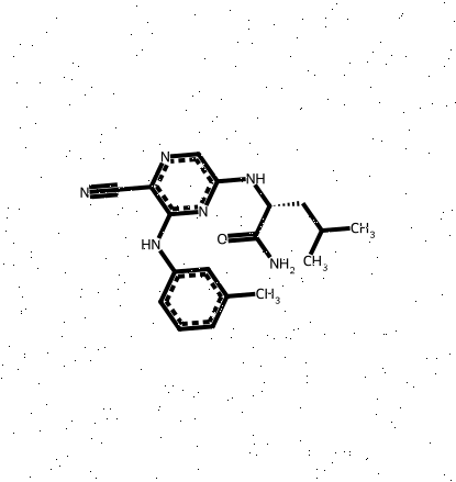 Cc1cccc(Nc2nc(N[C@H](CC(C)C)C(N)=O)cnc2C#N)c1